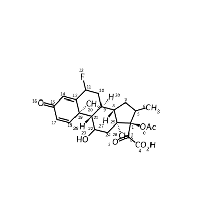 CC(=O)O[C@]1(C(=O)C(=O)O)C(C)C[C@H]2[C@@H]3CC(F)C4=CC(=O)C=C[C@]4(C)[C@H]3C(O)C[C@@]21C